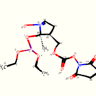 CCOP(OCC)O[C@]1(C)[C@H](COC(=O)ON2C(=O)CCC2=O)CC=[N+]1[O-]